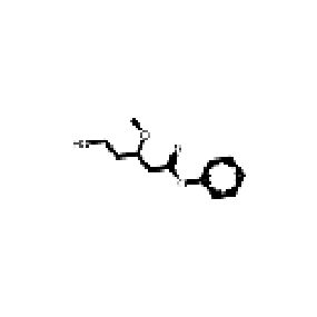 COC(CCO)CC(=O)Oc1ccccc1